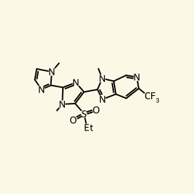 CCS(=O)(=O)c1c(-c2nc3cc(C(F)(F)F)ncc3n2C)nc(-c2nccn2C)n1C